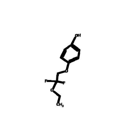 CCOC(F)(F)COc1ccc(O)cc1